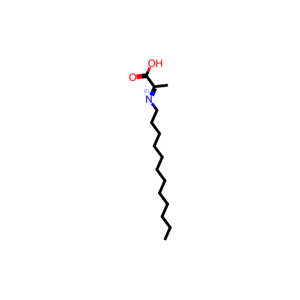 CCCCCCCCCCCC/N=C(\C)C(=O)O